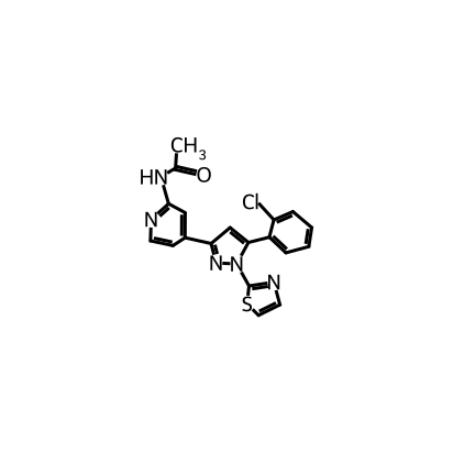 CC(=O)Nc1cc(-c2cc(-c3ccccc3Cl)n(-c3nccs3)n2)ccn1